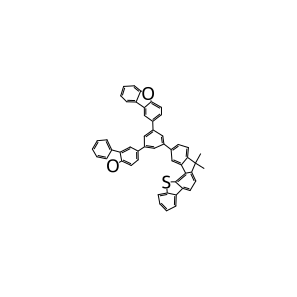 CC1(C)c2ccc(-c3cc(-c4ccc5oc6ccccc6c5c4)cc(-c4ccc5oc6ccccc6c5c4)c3)cc2-c2c1ccc1c2sc2ccccc21